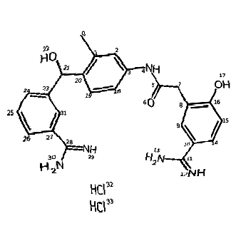 Cc1cc(NC(=O)Cc2cc(C(=N)N)ccc2O)ccc1C(O)c1cccc(C(=N)N)c1.Cl.Cl